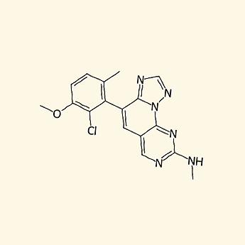 CNc1ncc2cc(-c3c(C)ccc(OC)c3Cl)c3ncnn3c2n1